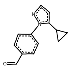 O=Cc1ccc(-n2nccc2C2CC2)cc1